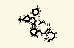 COC(=O)N[C@H](C(=O)Nc1cccc(F)c1CCC1CNC2CCCS(=O)(=O)N1C2)[C@@H](c1ccc(F)cc1)c1ccc(C(F)(F)F)cc1